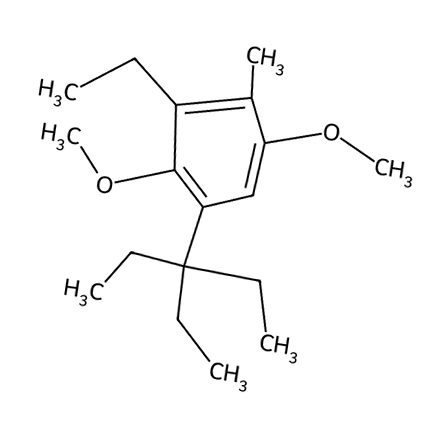 CCc1c(C)c(OC)cc(C(CC)(CC)CC)c1OC